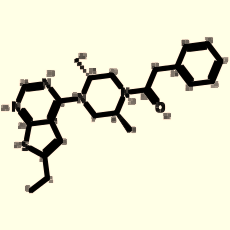 CCc1cc2c(N3C[C@H](C)N(C(=O)Cc4ccccc4)C[C@H]3C)ncnc2s1